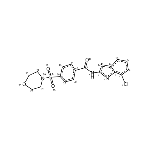 O=C(Nc1nc2c(Cl)cccc2s1)c1ccc(S(=O)(=O)N2CCOCC2)cc1